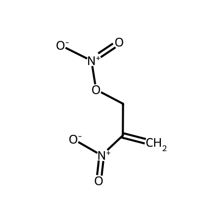 C=C(CO[N+](=O)[O-])[N+](=O)[O-]